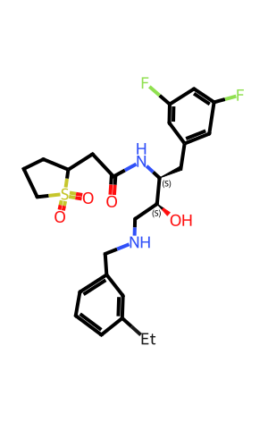 CCc1cccc(CNC[C@H](O)[C@H](Cc2cc(F)cc(F)c2)NC(=O)CC2CCCS2(=O)=O)c1